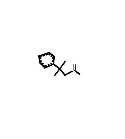 [CH2]C(C)(CNC)c1ccccc1